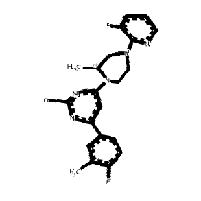 Cc1cc(-c2cc(N3CCN(c4ncccc4F)C[C@@H]3C)nc(Cl)n2)ccc1F